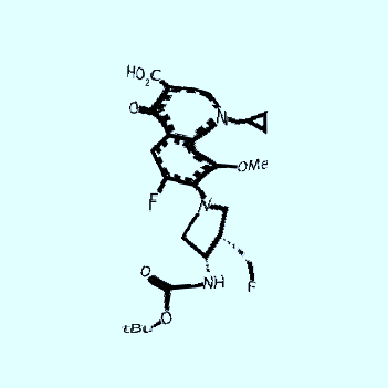 COc1c(N2C[C@H](CF)[C@H](NC(=O)OC(C)(C)C)C2)c(F)cc2c(=O)c(C(=O)O)cn(C3CC3)c12